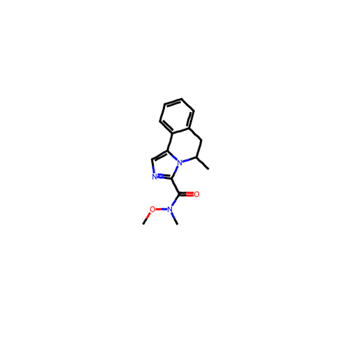 CON(C)C(=O)c1ncc2n1C(C)Cc1ccccc1-2